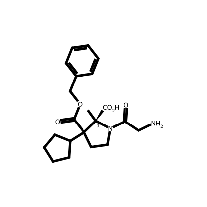 C[C@]1(C(=O)O)N(C(=O)CN)CCC1(C(=O)OCc1ccccc1)C1CCCC1